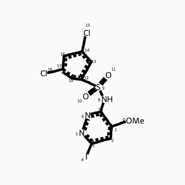 COc1cc(I)nnc1NS(=O)(=O)c1cc(Cl)cc(Cl)c1